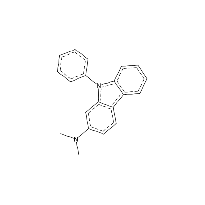 CN(C)c1ccc2c3ccccc3n(-c3ccccc3)c2c1